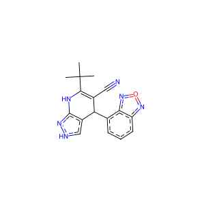 CC(C)(C)C1=C(C#N)C(c2cccc3nonc23)c2c[nH]nc2N1